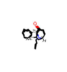 C=CCN1[C@H]2C=CC(=O)[C@]1(c1ccccc1)C(C#N)C2